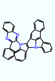 c1ccc(-c2nc3ccccc3nc2-n2c3ccccc3c3c2c2cc4ccccc4c4c5ccccc5n3c24)cc1